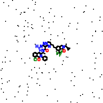 C[C@H](NC(=O)c1c(N)nn2ccc(CCc3cc4c(c(C(F)(F)F)c3)C(=O)N([C@@H](C)C3CC3)C4)nc12)c1cc2cccc(Cl)c2c(=O)n1-c1ccccc1